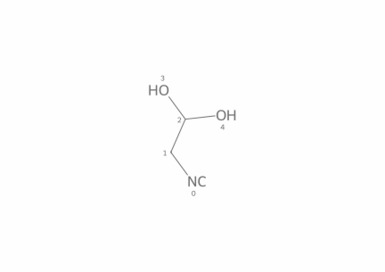 [C-]#[N+]CC(O)O